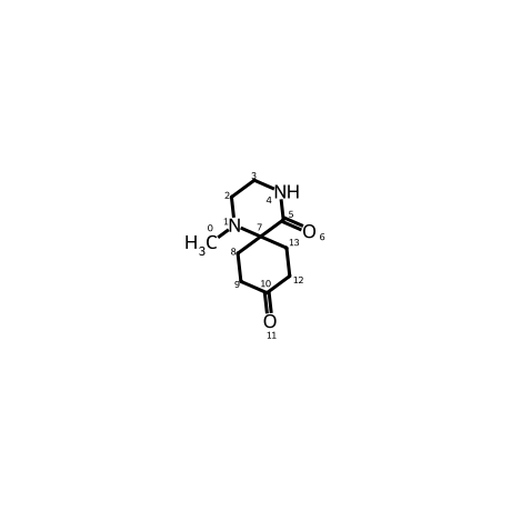 CN1CCNC(=O)C12CCC(=O)CC2